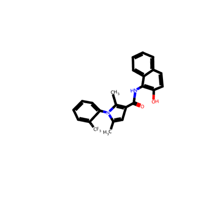 Cc1cc(C(=O)Nc2c(O)ccc3ccccc23)c(C)n1-c1ccccc1C(F)(F)F